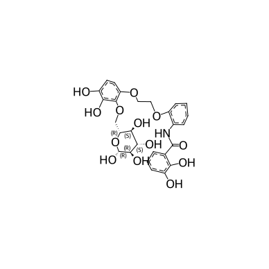 O=C(Nc1ccccc1OCCOc1ccc(O)c(O)c1OC[C@H]1O[C@@H](O)[C@H](O)[C@@H](O)[C@@H]1O)c1cccc(O)c1O